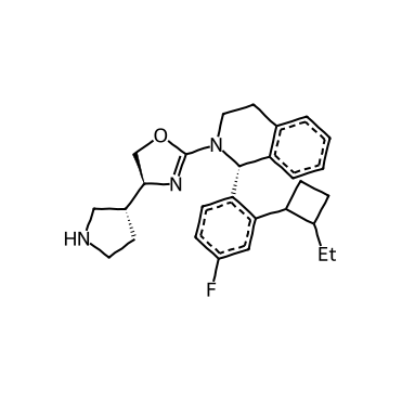 CCC1CCC1c1cc(F)ccc1[C@H]1c2ccccc2CCN1C1=N[C@@H]([C@@H]2CCNC2)CO1